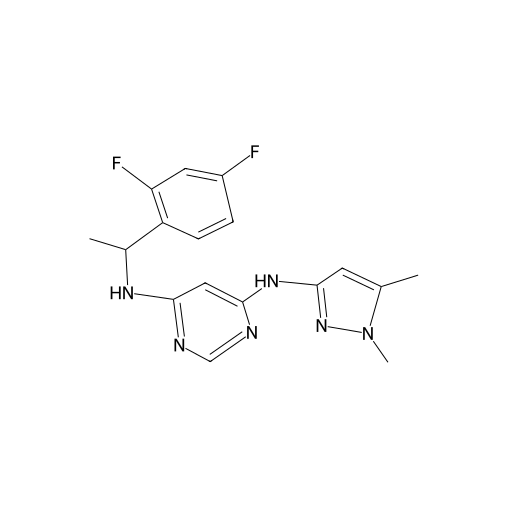 Cc1cc(Nc2cc(NC(C)c3ccc(F)cc3F)ncn2)nn1C